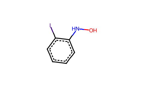 ONc1ccccc1I